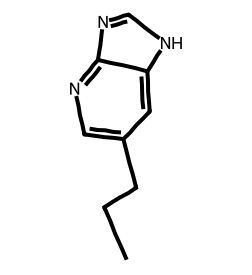 CCCc1cnc2nc[nH]c2c1